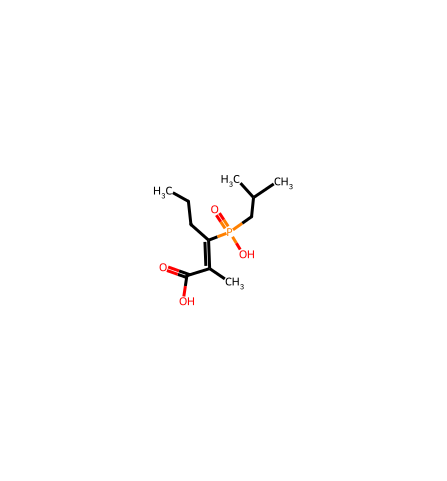 CCCC(=C(C)C(=O)O)P(=O)(O)CC(C)C